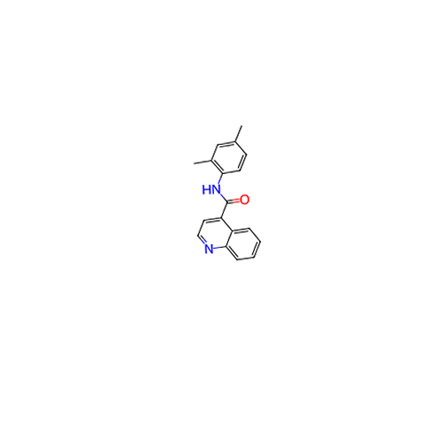 Cc1ccc(NC(=O)c2ccnc3ccccc23)c(C)c1